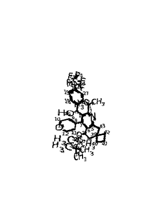 CC(C)c1nc2c(c(C3=CCOCC3)c1[C@H](O)c1ccc(S(F)(F)(F)(F)F)cc1)C(O[Si](C)(C)C(C)(C)C)CC1(CCC1)C2